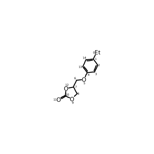 CCc1ccc(OCC2COC(=O)O2)cc1